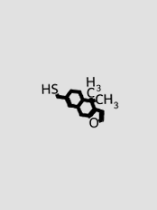 CC1(C)c2ccoc2CC2C=C(CS)CCC21